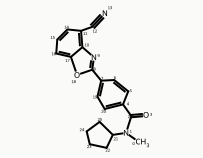 CN(C(=O)c1ccc(-c2nc3c(C#N)cccc3o2)cc1)C1CCCC1